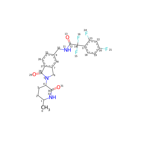 CC1CCC(N2Cc3cc(CNC(=O)C(F)(F)c4ccc(F)cc4F)ccc3C2=O)C(=O)N1